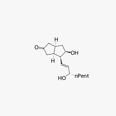 CCCCC[C@H](O)/C=C/[C@H]1[C@H]2CC(=O)C[C@H]2C[C@H]1O